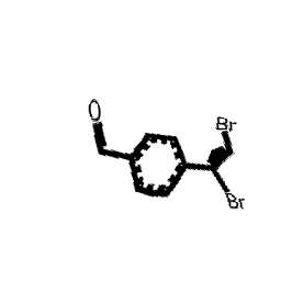 O=Cc1ccc(/C(Br)=C\Br)cc1